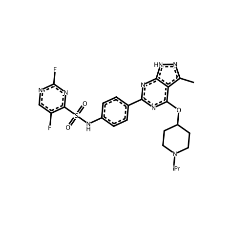 Cc1n[nH]c2nc(-c3ccc(NS(=O)(=O)c4nc(F)ncc4F)cc3)nc(OC3CCN(C(C)C)CC3)c12